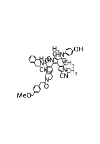 COCc1ccc(CC(=O)N2CCc3cc(-c4c(-c5cc(C#N)n(C)c5C)c(C(=O)Nc5ccc(O)cc5)c(C)n4C)c(C(=O)N4Cc5ccccc5C[C@H]4C)cc3C2)cc1